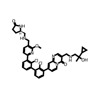 COc1nc(-c2cccc(-c3cccc(-c4ccn5c(=O)c(CNCC(C)(O)C6CC6)cnc5c4)c3Cl)c2Cl)ccc1CNC[C@H]1CCC(=O)N1